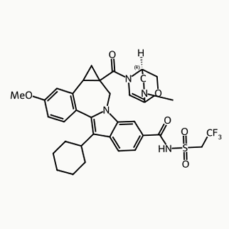 COc1ccc2c(c1)C1CC1(C(=O)N1C=C3OC[C@H]1CN3C)Cn1c-2c(C2CCCCC2)c2ccc(C(=O)NS(=O)(=O)CC(F)(F)F)cc21